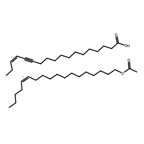 CC/C=C\C#CCCCCCCCCCCCC(=O)O.CCCC/C=C\CCCCCCCCCCCCOC(C)=O